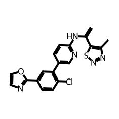 C=C(Nc1ccc(-c2cc(-c3ncco3)ccc2Cl)cn1)c1snnc1C